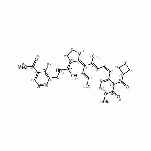 CC/C=C(/N=C\C=C(/C)C(/C=C/CC)=C1OCC/C1=C(/C)NCc1cccc(C(=O)OC)c1F)N(C(=O)OC(C)(C)C)C(=O)C1CCC1